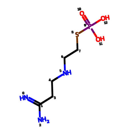 N=C(N)CCNCCSP(=O)(O)O